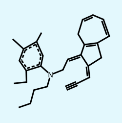 C#C/C=C1/CC2=C(CC=CC=C2)/C1=C/CN(CCCC)c1cc(C)c(C)cc1CC